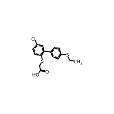 CCSc1ccc(-c2cc(Cl)ccc2SCC(=O)O)cc1